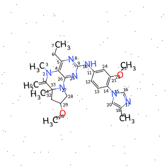 C=C1N(C)c2c(CC)nc(Nc3ccc(-n4cnc(C)c4)c(OC)c3)nc2N2CC(OC)CC12C